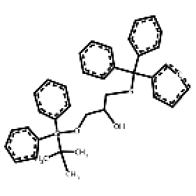 CC(C)(C)[Si](OCC(O)CSC(c1ccccc1)(c1ccccc1)c1ccccc1)(c1ccccc1)c1ccccc1